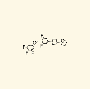 Fc1cc(OCCc2c(F)cc(-c3ccc(C4CCCCO4)cc3)cc2F)cc(F)c1F